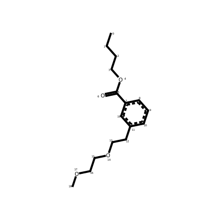 CCCCOC(=O)c1cccc(CCOCCOC)c1